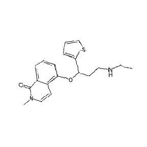 CCNCCC(Oc1cccc2c(=O)n(C)ccc12)c1cccs1